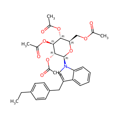 CCc1ccc(Cc2cn([C@@H]3O[C@H](COC(C)=O)[C@@H](OC(C)=O)[C@H](OC(C)=O)[C@H]3OC(C)=O)c3ccccc23)cc1